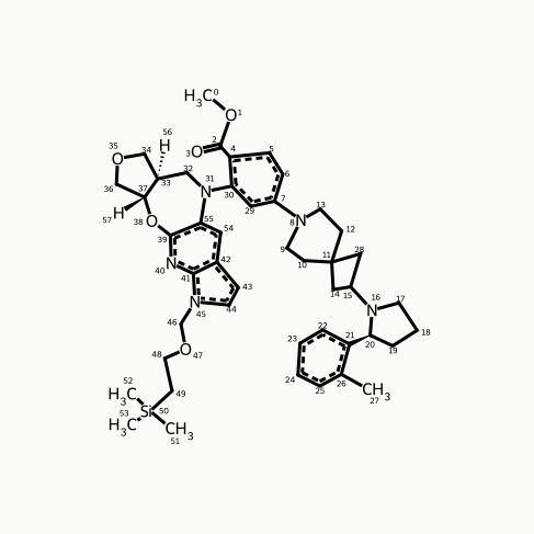 COC(=O)c1ccc(N2CCC3(CC2)CC(N2CCC[C@H]2c2ccccc2C)C3)cc1N1C[C@@H]2COC[C@H]2Oc2nc3c(ccn3COCC[Si](C)(C)C)cc21